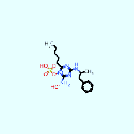 CCCCCc1nc(NC(C)Cc2ccccc2)nc(N)[n+]1OS(=O)(=O)O.[OH-]